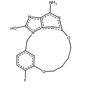 Nc1nc2cc3c1nc(O)n3Cc1ccc(F)c(c1)OCCCCO2